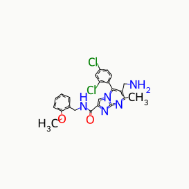 COc1ccccc1CNC(=O)c1cn2c(-c3ccc(Cl)cc3Cl)c(CN)c(C)nc2n1